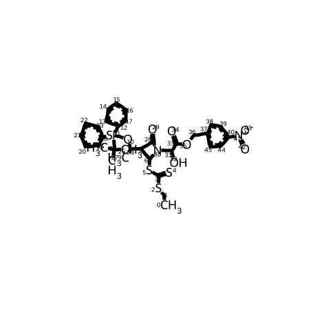 CCSC(=S)SC1C(C(C)O[Si](c2ccccc2)(c2ccccc2)C(C)(C)C)C(=O)N1C(O)C(=O)OCc1ccc([N+](=O)[O-])cc1